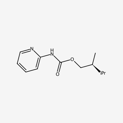 CC(C)[C@H](C)COC(=O)Nc1ccccn1